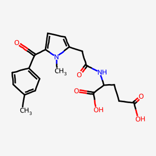 Cc1ccc(C(=O)c2ccc(CC(=O)NC(CCC(=O)O)C(=O)O)n2C)cc1